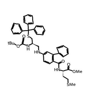 COC(=O)[C@H](CCSC)NC(=O)c1ccc(NC[C@H](CSC(c2ccccc2)(c2ccccc2)c2ccccc2)NC(=O)OC(C)(C)C)cc1-c1ccccc1